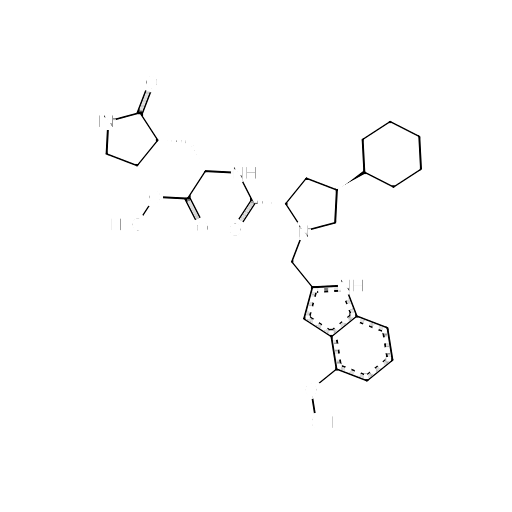 COC(=O)[C@H](C[C@@H]1CCNC1=O)NC(=O)[C@@H]1C[C@@H](C2CCCCC2)CN1Cc1cc2c(OC)cccc2[nH]1